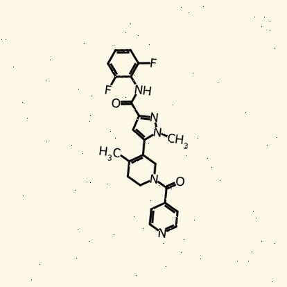 CC1=C(c2cc(C(=O)Nc3c(F)cccc3F)nn2C)CN(C(=O)c2ccncc2)CC1